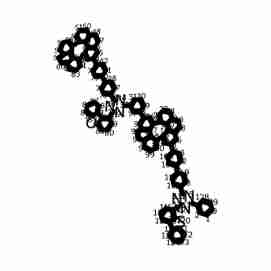 c1ccc(-c2nc(-c3ccc(-c4ccc(-c5cc6ccc7cccc8c9cc(-c%10cccc(-c%11nc(-c%12ccc(-c%13ccc(-c%14cc%15ccc%16cccc%17c%18cccc%19ccc%20cccc(c(c%14)c%15c%16%17)c%20c%19%18)cc%13)cc%12)nc(-c%12cccc%13oc%14ccccc%14c%12%13)n%11)c%10)cc%10ccc%11cccc(c(c5)c6c78)c%11c%109)cc4)cc3)nc(-c3cccc4c3sc3ccccc34)n2)cc1